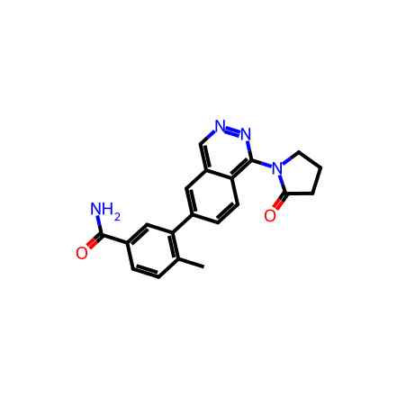 Cc1ccc(C(N)=O)cc1-c1ccc2c(N3CCCC3=O)nncc2c1